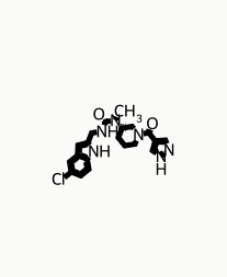 CN(C(=O)NCc1cc2cc(Cl)ccc2[nH]1)[C@@H]1CCCN(C(=O)c2cn[nH]c2)C1